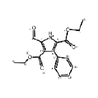 CCOC(=O)c1[nH]c(C=O)c(C(=O)OCC)c1-c1ccccc1